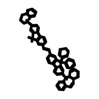 CC1(C)c2cc(/C=C/c3ccc4c(c3)C(C3=CCCC=C3)(c3ccccc3)c3cc(N5c6ccccc6C=CC6C=CC=CC65)ccc3-4)ccc2-c2ccc(N3CCCc4ccccc43)cc21